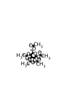 CC(=O)OC[C@H]1O[C@H](OC(C)=O)[C@@H](OC(C)=O)[C@@H](OC(C)=O)[C@H]1OC(C)=O